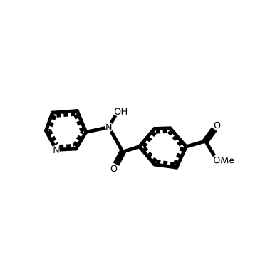 COC(=O)c1ccc(C(=O)N(O)c2cccnc2)cc1